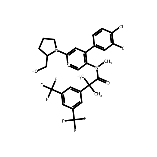 CN(C(=O)C(C)(C)c1cc(C(F)(F)F)cc(C(F)(F)F)c1)c1cnc(N2CCCC2CO)cc1-c1ccc(Cl)c(Cl)c1